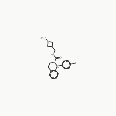 O=C(O)N1CC(CNC(=O)N2CCc3ccccc3[C@@H]2c2ccc(F)cc2)C1